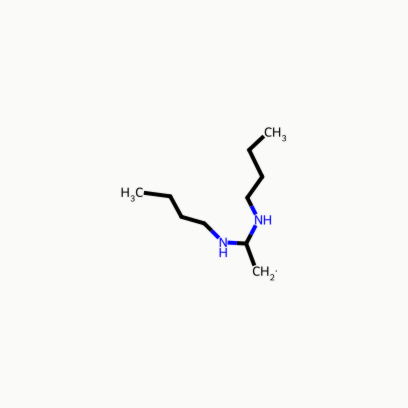 [CH2]C(NCCCC)NCCCC